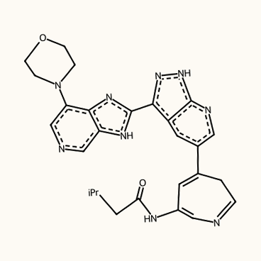 CC(C)CC(=O)NC1=CN=CCC(c2cnc3[nH]nc(-c4nc5c(N6CCOCC6)cncc5[nH]4)c3c2)=C1